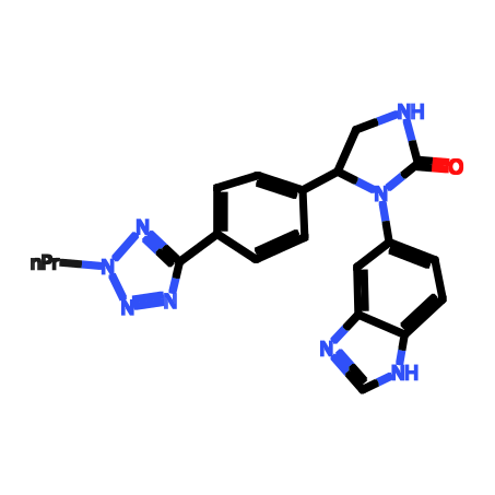 CCCn1nnc(-c2ccc(C3CNC(=O)N3c3ccc4[nH]cnc4c3)cc2)n1